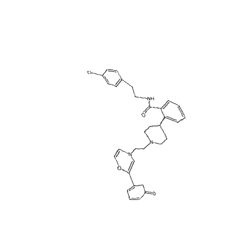 O=C1C=CC=C(C2=CN(CCN3CCC(c4ccccc4C(=O)NCCc4ccc(Cl)cc4)CC3)C=CO2)C1